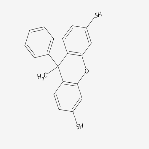 CC1(c2ccccc2)c2ccc(S)cc2Oc2cc(S)ccc21